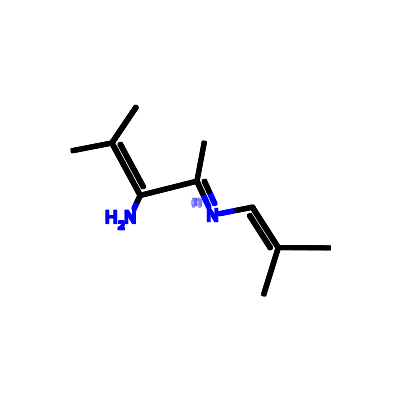 CC(C)=C/N=C(\C)C(N)=C(C)C